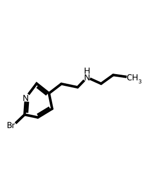 CCCNCCc1ccc(Br)nc1